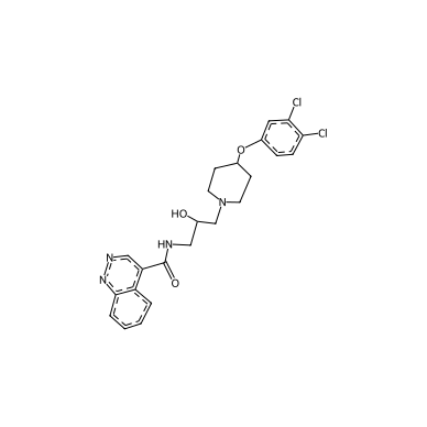 O=C(NCC(O)CN1CCC(Oc2ccc(Cl)c(Cl)c2)CC1)c1cnnc2ccccc12